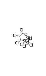 ClC1O[SiH](Cl)[Si](Cl)([Si](Cl)(Cl)Cl)C(Cl)C1Cl